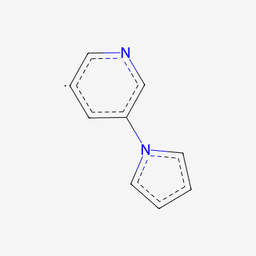 [c]1cncc(-n2cccc2)c1